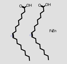 CCCCCCCC/C=C\CCCCCCCC(=O)O.CCCCCCCC/C=C\CCCCCCCC(=O)O.[Fe].[Zn]